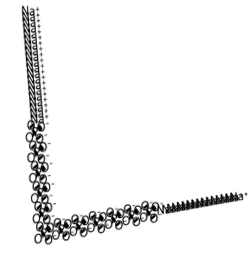 O=P([O-])([O-])[O-].O=P([O-])([O-])[O-].O=P([O-])([O-])[O-].O=P([O-])([O-])[O-].O=P([O-])([O-])[O-].O=P([O-])([O-])[O-].O=P([O-])([O-])[O-].O=P([O-])([O-])[O-].O=P([O-])([O-])[O-].O=P([O-])([O-])[O-].O=P([O-])([O-])[O-].O=P([O-])([O-])[O-].[Na+].[Na+].[Na+].[Na+].[Na+].[Na+].[Na+].[Na+].[Na+].[Na+].[Na+].[Na+].[Na+].[Na+].[Na+].[Na+].[Na+].[Na+].[Na+].[Na+].[Na+].[Na+].[Na+].[Na+].[Na+].[Na+].[Na+].[Na+].[Na+].[Na+].[Na+].[Na+].[Na+].[Na+].[Na+].[Na+]